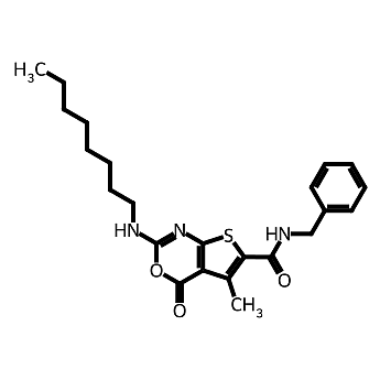 CCCCCCCCNc1nc2sc(C(=O)NCc3ccccc3)c(C)c2c(=O)o1